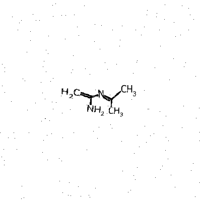 C=C(N)N=C(C)C